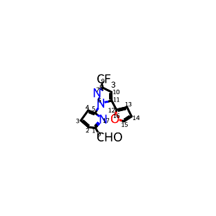 O=Cc1cccc(-n2nc(C(F)(F)F)cc2-c2ccco2)n1